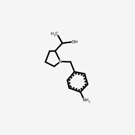 CC(O)C1CCCN1Cc1ccc(N)cc1